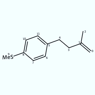 C=C(C)CCc1ccc(SC)cc1